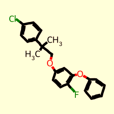 CC(C)(COc1ccc(F)c(Oc2ccccc2)c1)c1ccc(Cl)cc1